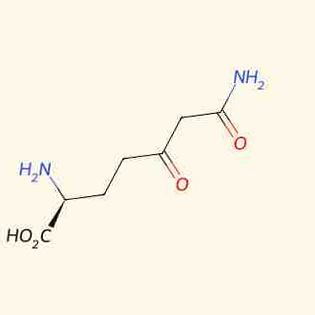 NC(=O)CC(=O)CC[C@H](N)C(=O)O